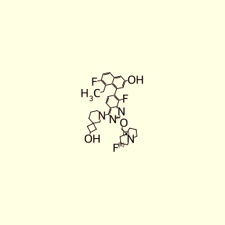 CCc1c(F)ccc2cc(O)cc(-c3ccc4c(N5CCCC6(CC(O)C6)C5)nc(OC[C@@]56CCCN5C[C@H](F)C6)nc4c3F)c12